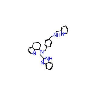 c1ccc(CNCc2ccc(CN(Cc3nc4ccccc4[nH]3)C3CCCc4cccnc43)cc2)nc1